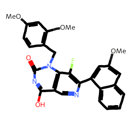 COc1ccc(Cn2c(=O)nc(O)c3cnc(-c4cc(OC)cc5ccccc45)c(F)c32)c(OC)c1